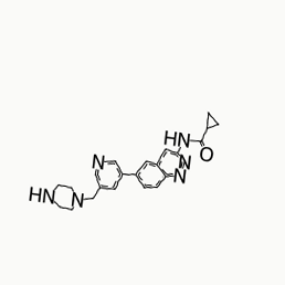 O=C(Nc1cc2cc(-c3cncc(CN4CCNCC4)c3)ccc2nn1)C1CC1